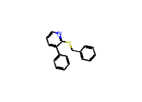 c1ccc(CSc2ncccc2-c2ccccc2)cc1